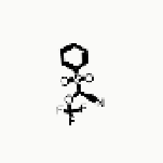 N#CC(OC(F)(F)F)S(=O)(=O)c1ccccc1